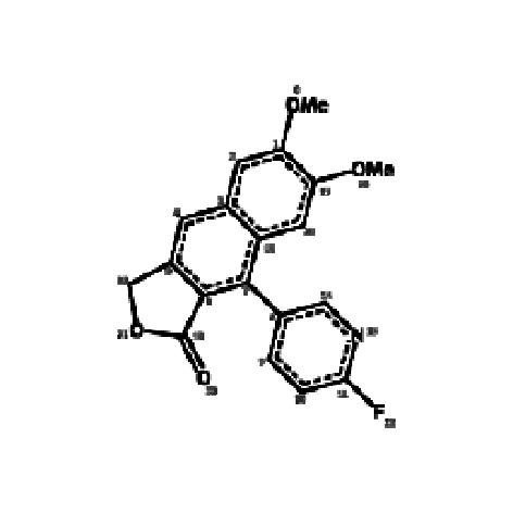 COc1cc2cc3c(c(-c4ccc(F)nc4)c2cc1OC)C(=O)OC3